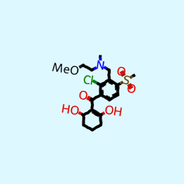 COCCN(C)Cc1c(S(C)(=O)=O)ccc(C(=O)C2=C(O)CCCC2O)c1Cl